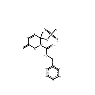 C=C1C=CC(C)(OS(C)(=O)=O)N(C(=O)OCc2ccccc2)C1